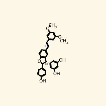 COc1cc(/C=C/c2ccc3c(c2)[C@H](c2cc(O)cc(O)c2)C(c2ccc(O)cc2)O3)cc(OC)c1